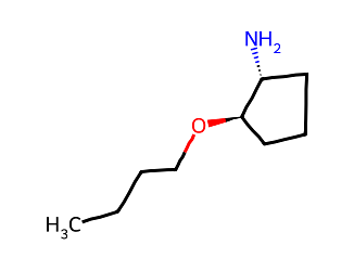 CCCCO[C@@H]1CCC[C@H]1N